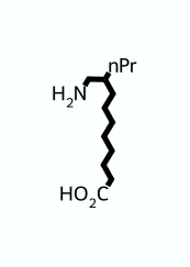 CCCC(CN)CCCCCCCC(=O)O